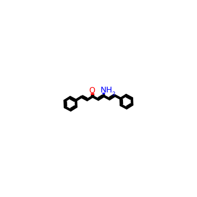 NC(=C\C(=O)/C=C/c1ccccc1)/C=C/c1ccccc1